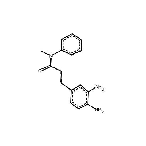 CN(C(=O)CCc1ccc(N)c(N)c1)c1ccccc1